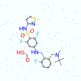 CN(Cc1cccc(F)c1CNc1cc(F)c(S(=O)(=O)Nc2ccsn2)c(F)c1)C(C)(C)C.O=CO